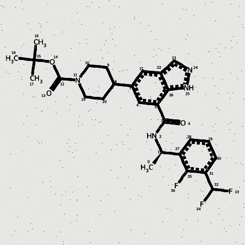 C[C@@H](NC(=O)c1cc(C2CCN(C(=O)OC(C)(C)C)CC2)cc2cn[nH]c12)c1cccc(C(F)F)c1F